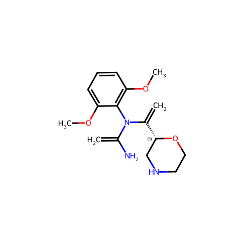 C=C(N)N(C(=C)[C@H]1CNCCO1)c1c(OC)cccc1OC